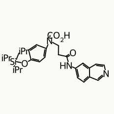 CC(C)[Si](Oc1ccc(N(CCC(=O)Nc2ccc3cnccc3c2)C(=O)O)cc1)(C(C)C)C(C)C